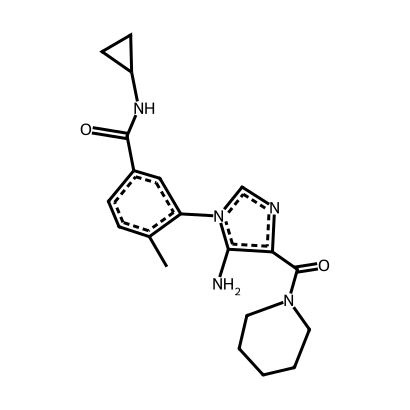 Cc1ccc(C(=O)NC2CC2)cc1-n1cnc(C(=O)N2CCCCC2)c1N